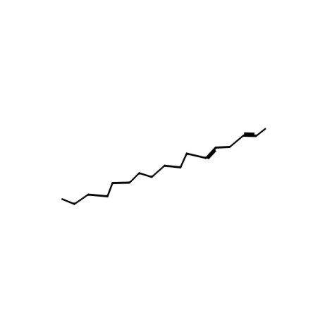 [CH2]C=CCC=CCCCCCCCCCCC